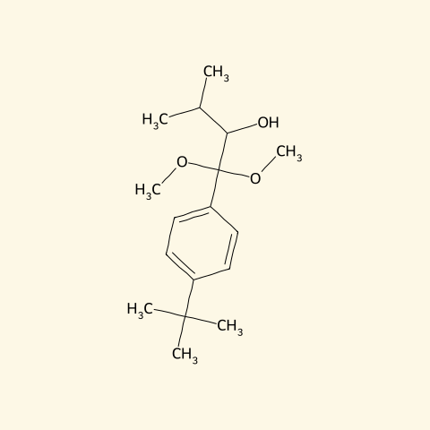 COC(OC)(c1ccc(C(C)(C)C)cc1)C(O)C(C)C